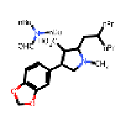 CCCC(CCC)CC1C(C(=O)O)C(c2ccc3c(c2)OCO3)CN1C.CCCCN(C=O)CCCC